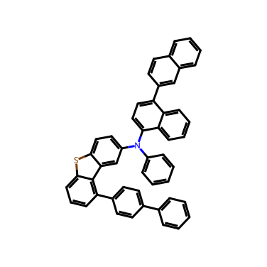 c1ccc(-c2ccc(-c3cccc4sc5ccc(N(c6ccccc6)c6ccc(-c7ccc8ccccc8c7)c7ccccc67)cc5c34)cc2)cc1